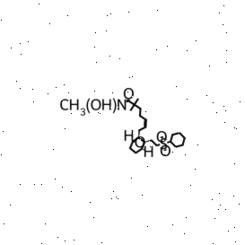 CN(O)C(=O)C(C)(C)CC/C=C\C[C@H]1[C@@H](CCS(=O)(=O)C2CCCCC2)[C@H]2CC[C@@H]1O2